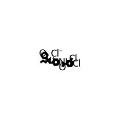 CCC[N+](C)(Cc1ccc(NC(=O)c2ccc(Cl)c(Cl)c2)cc1)C1CCOCC1.[Cl-]